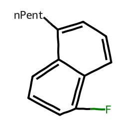 [CH2]CCCCc1cccc2c(F)cccc12